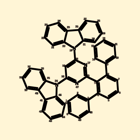 c1ccc(-c2cccc(-c3ccccc3)c2-c2nc(-n3c4ccccc4c4ccccc43)cc(-n3c4ccccc4c4ccccc43)n2)cc1